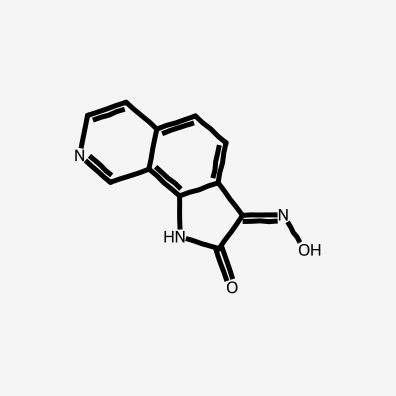 O=C1Nc2c(ccc3ccncc23)/C1=N/O